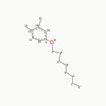 [CH2]CCCCCCCOc1ccc(C)c(C)c1